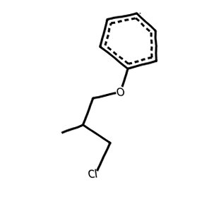 CC(CCl)COc1cc[c]cc1